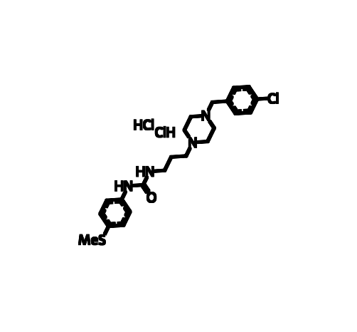 CSc1ccc(NC(=O)NCCCN2CCN(Cc3ccc(Cl)cc3)CC2)cc1.Cl.Cl